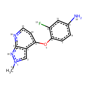 Cn1cc2c(Oc3ccc(N)cc3F)ccnc2n1